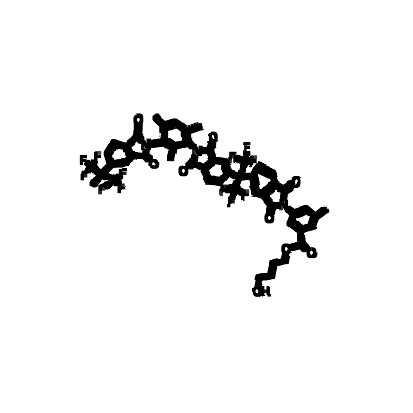 Cc1cc(C(=O)OCCCCO)cc(N2C(=O)c3ccc(C(c4ccc5c(c4)C(=O)N(c4c(C)cc(C)c(N6C(=O)c7ccc(C(C)(C(F)(F)F)C(F)(F)F)cc7C6=O)c4C)C5=O)(C(F)(F)F)C(F)(F)F)cc3C2=O)c1